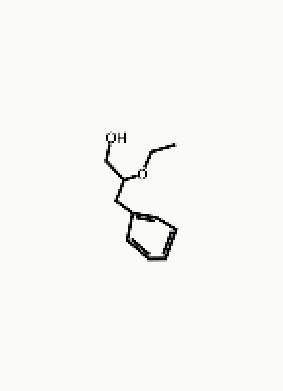 CCOC(CO)Cc1ccccc1